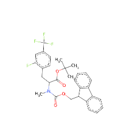 CN(C(=O)OCC1c2ccccc2-c2ccccc21)C(Cc1ccc(C(F)(F)F)cc1F)C(=O)OC(C)(C)C